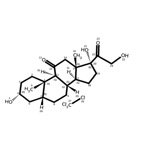 C[C@]12CC[C@@H](O)C[C@H]1CC[C@@H]1[C@@H]2C(=O)C[C@@]2(C)[C@H]1CC[C@]2(O)C(=O)CO.ClC(Cl)(Cl)Cl